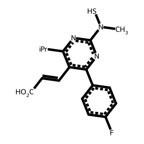 CC(C)c1nc(N(C)S)nc(-c2ccc(F)cc2)c1/C=C/C(=O)O